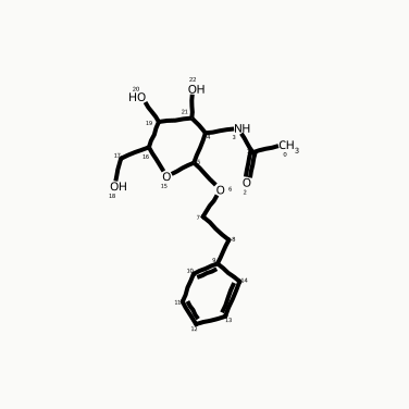 CC(=O)NC1C(OCCc2ccccc2)OC(CO)C(O)C1O